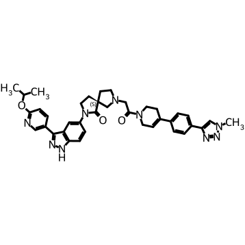 CC(C)Oc1ccc(-c2n[nH]c3ccc(N4CC[C@]5(CCN(CC(=O)N6CC=C(c7ccc(-c8cn(C)nn8)cc7)CC6)C5)C4=O)cc23)cn1